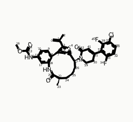 C=C(C)c1sc2cc1-c1ccc(NC(=O)OC)cc1NC(=O)[C@H](C)CCC[C@@H]2N1CCC(c2c(F)ccc(Cl)c2F)=CC1=O